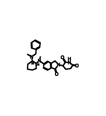 CN(Cc1ccccc1)[C@@H]1CCCC[C@@H]1N(C)c1ccc2c(c1)CN(C1CCC(=O)NC1=O)C2=O